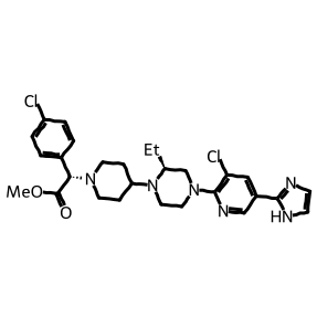 CC[C@H]1CN(c2ncc(-c3ncc[nH]3)cc2Cl)CCN1C1CCN([C@H](C(=O)OC)c2ccc(Cl)cc2)CC1